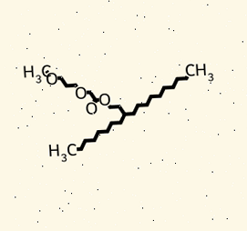 CCCCCCCCCCC(CCCCCCCC)CCOC(=O)COCCCOC